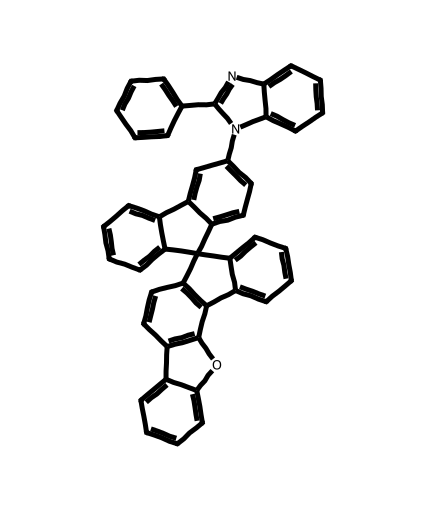 c1ccc(-c2nc3ccccc3n2-c2ccc3c(c2)-c2ccccc2C32c3ccccc3-c3c2ccc2c3oc3ccccc32)cc1